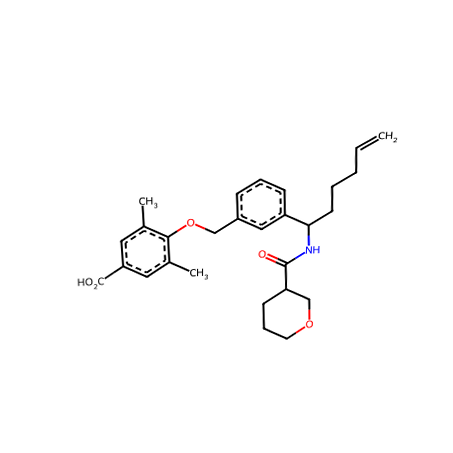 C=CCCCC(NC(=O)C1CCCOC1)c1cccc(COc2c(C)cc(C(=O)O)cc2C)c1